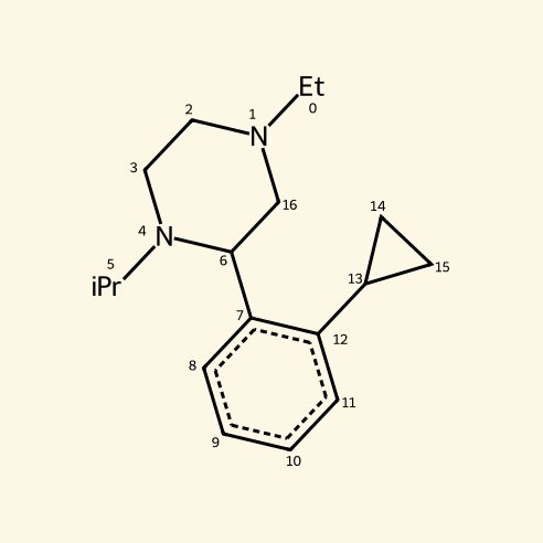 CCN1CCN(C(C)C)C(c2ccccc2C2CC2)C1